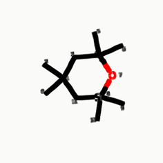 CC1(C)CC(C)(C)O[Si](C)(C)C1